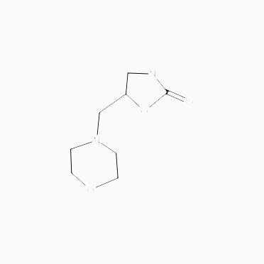 O=C1[N]CC(CN2CCOCC2)O1